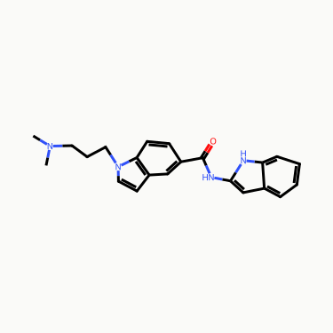 CN(C)CCCn1ccc2cc(C(=O)Nc3cc4ccccc4[nH]3)ccc21